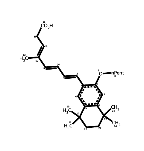 CCCCCOc1cc2c(cc1C=CC=CC(C)=CCC(=O)O)C(C)(C)CCC2(C)C